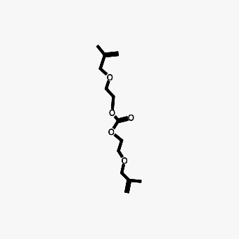 C=C(C)COCCOC(=O)OCCOCC(=C)C